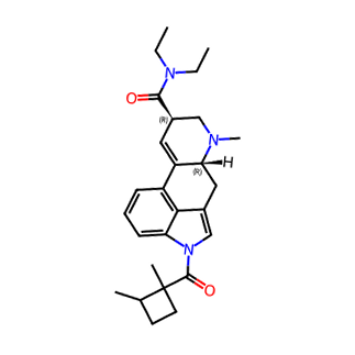 CCN(CC)C(=O)[C@@H]1C=C2c3cccc4c3c(cn4C(=O)C3(C)CCC3C)C[C@H]2N(C)C1